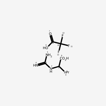 CCCC(NC(=N)N)C(=O)O.O=C(O)C(F)(F)F